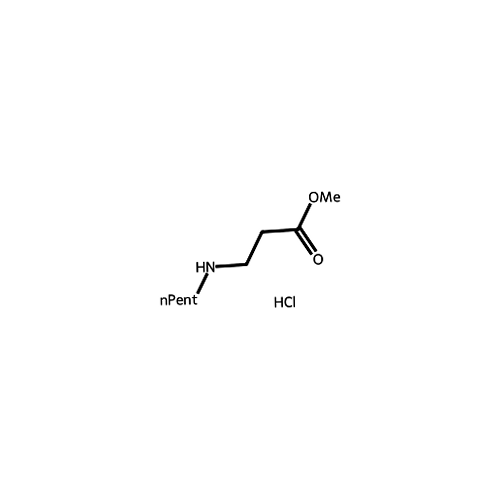 CCCCCNCCC(=O)OC.Cl